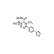 CNC(=O)C(C(=O)NO)N(C)C(=O)c1ccc(-c2ccsc2)cc1